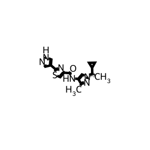 Cc1nn([C@H](C)C2CC2)cc1NC(=O)c1csc(-c2cn[nH]c2)n1